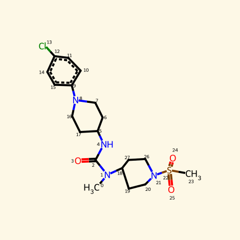 CN(C(=O)NC1CCN(c2ccc(Cl)cc2)CC1)C1CCN(S(C)(=O)=O)CC1